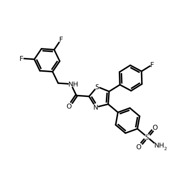 NS(=O)(=O)c1ccc(-c2nc(C(=O)NCc3cc(F)cc(F)c3)sc2-c2ccc(F)cc2)cc1